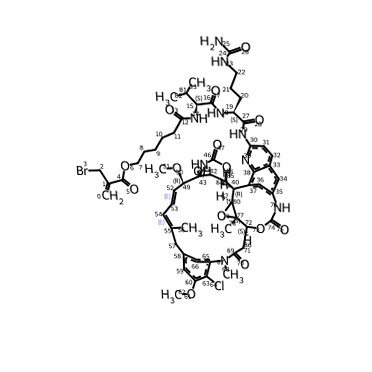 C=C(CBr)C(=O)OCCCCCC(=O)N[C@H](C(=O)N[C@@H](CCCNC(N)=O)C(=O)Nc1ccc2cc3cc(c2n1)[C@@H]1[C@@H]2C[C@@](O)(NC(=O)O2)[C@H](OC)/C=C/C=C(\C)Cc2cc(OC)c(Cl)c(c2)N(C)C(=O)C[C@H](OC(=O)N3)[C@]2(C)O[C@@H]12)C(C)C